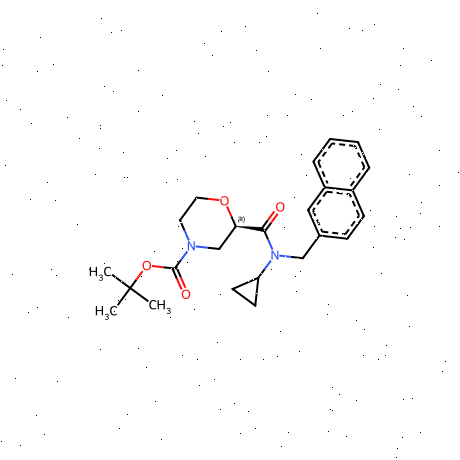 CC(C)(C)OC(=O)N1CCO[C@@H](C(=O)N(Cc2ccc3ccccc3c2)C2CC2)C1